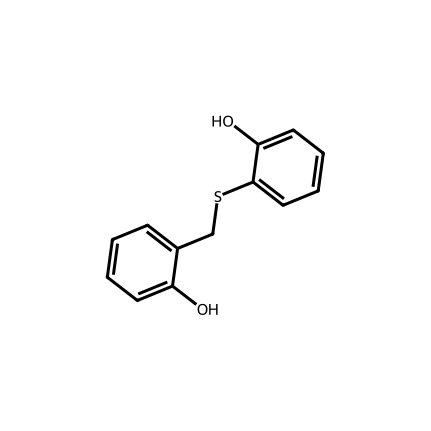 Oc1ccccc1CSc1ccccc1O